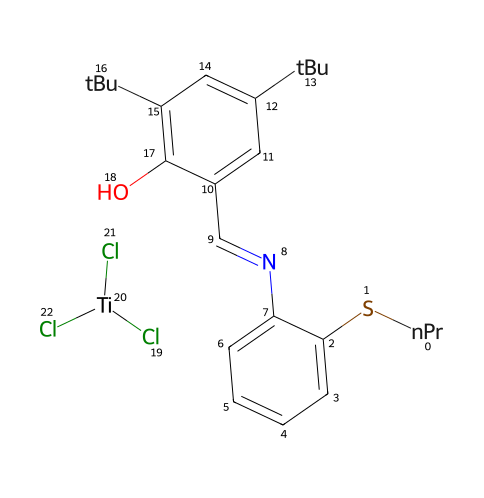 CCCSc1ccccc1N=Cc1cc(C(C)(C)C)cc(C(C)(C)C)c1O.[Cl][Ti]([Cl])[Cl]